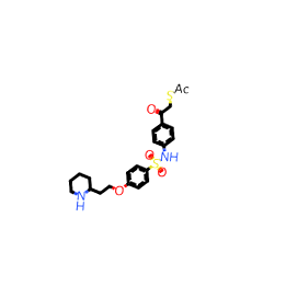 CC(=O)SCC(=O)c1ccc(NS(=O)(=O)c2ccc(OCCC3CCCCN3)cc2)cc1